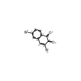 O=C1C(=O)c2ccc(Br)cc2C=C1Br